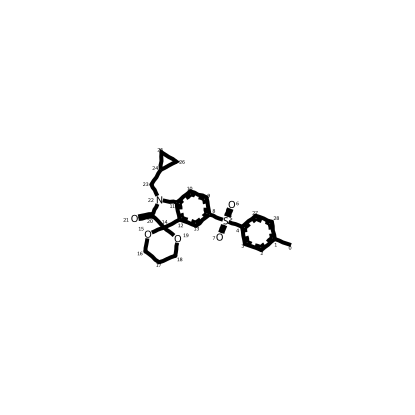 Cc1ccc(S(=O)(=O)c2ccc3c(c2)C2(OCCCO2)C(=O)N3CC2CC2)cc1